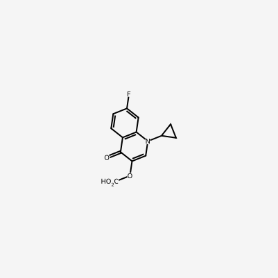 O=C(O)Oc1cn(C2CC2)c2cc(F)ccc2c1=O